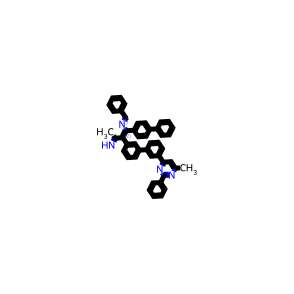 CC(=N)/C(=C(\N=C\c1ccccc1)c1ccc(-c2ccccc2)cc1)c1cccc(-c2cccc(-c3cc(C)nc(-c4ccccc4)n3)c2)c1